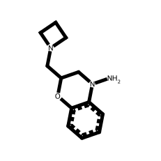 NN1CC(CN2CCC2)Oc2ccccc21